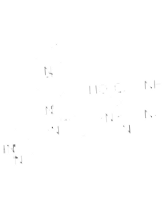 Nc1ncnc(N2CCC(c3nc(-c4cn[nH]c4)cn3CCN3CCC3)CC2)c1C(=O)O